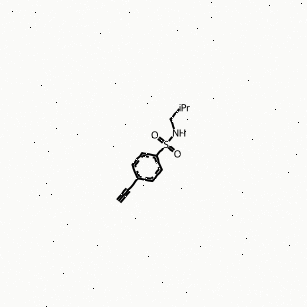 C#Cc1ccc(S(=O)(=O)NCC(C)C)cc1